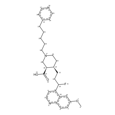 COc1ccc2nccc(C(F)CC[C@@H]3CCN(CCCCCc4ccncc4)C[C@@H]3C(=O)O)c2c1